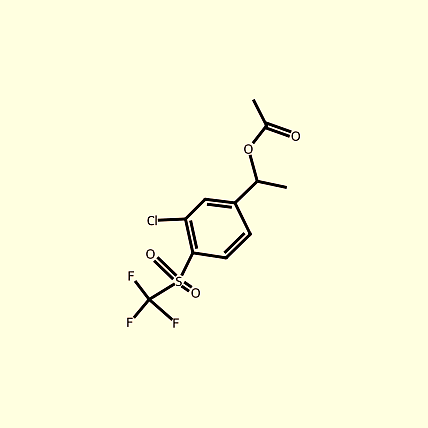 CC(=O)OC(C)c1ccc(S(=O)(=O)C(F)(F)F)c(Cl)c1